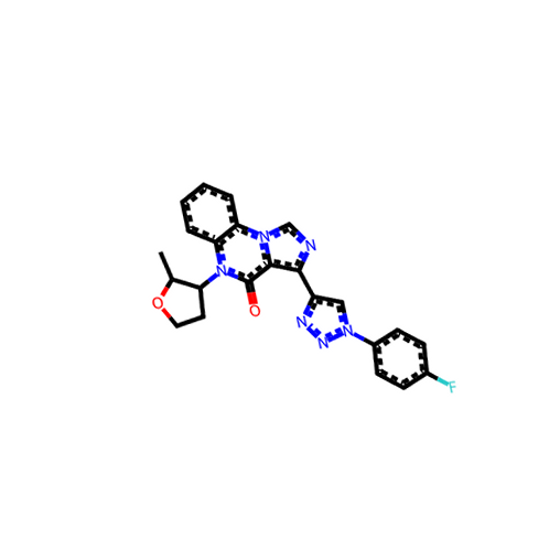 CC1OCCC1n1c(=O)c2c(-c3cn(-c4ccc(F)cc4)nn3)ncn2c2ccccc21